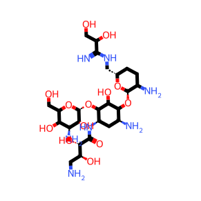 N=C(NC[C@@H]1CCC(N)[C@@H](OC2C(O)C(O[C@H]3OC(CO)C(O)[C@H](N)C3O)[C@H](NC(=O)[C@@H](O)[C@@H](O)CN)C[C@@H]2N)O1)C(O)CO